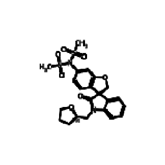 CS(=O)(=O)N(c1ccc2c(c1)OCC21C(=O)N(C[C@H]2CCCO2)c2ccccc21)S(C)(=O)=O